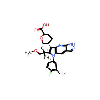 COCC(C)(C)c1c([C@H]2CCC(C(=O)O)OC2)c2nc3[nH]ncc3cc2n1-c1ccc(F)c(C)c1